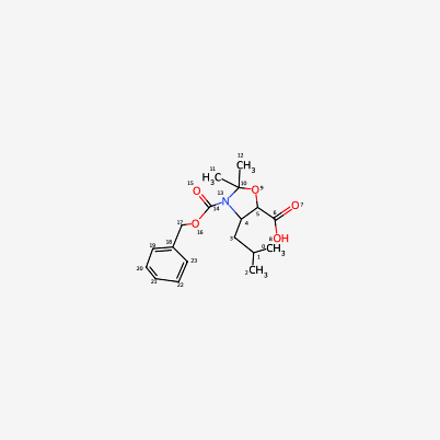 CC(C)CC1C(C(=O)O)OC(C)(C)N1C(=O)OCc1ccccc1